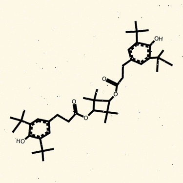 CC(C)(C)c1cc(CCC(=O)OC2C(C)(C)C(OC(=O)CCc3cc(C(C)(C)C)c(O)c(C(C)(C)C)c3)C2(C)C)cc(C(C)(C)C)c1O